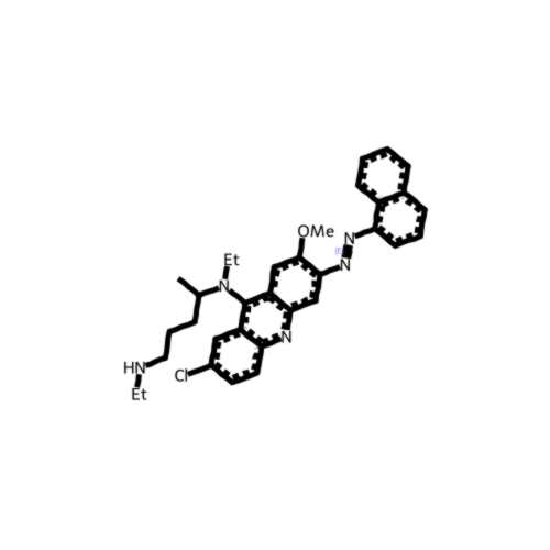 CCNCCCC(C)N(CC)c1c2cc(Cl)ccc2nc2cc(/N=N/c3cccc4ccccc34)c(OC)cc12